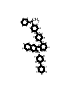 CN(c1ccccc1)c1ccc(-c2ccc(-c3cccc4c3c3cc5ccccc5cc3n4-c3ccc(-c4ccccc4)cc3)cc2)cc1